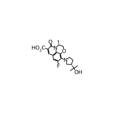 C[C@H]1COc2c(N3CC[C@@H](C(C)(C)O)C3)c(F)cc3cc(C(=O)O)c(=O)n1c23